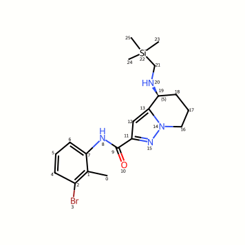 Cc1c(Br)cccc1NC(=O)c1cc2n(n1)CCC[C@@H]2NC[Si](C)(C)C